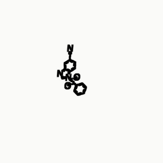 N#Cc1ccc2c(c1)ncn2S(=O)(=O)c1ccccc1